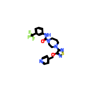 O=C(Nc1cccc(C(F)(F)F)c1)N1CCCN(c2nsnc2OCc2ccncc2)CC1